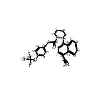 N#Cc1ccc(N2CCCCN2C(=O)Cc2ccc(OC(F)(F)F)cc2)c2ccccc12